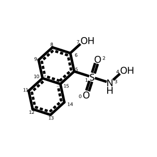 O=S(=O)(NO)c1c(O)ccc2ccccc12